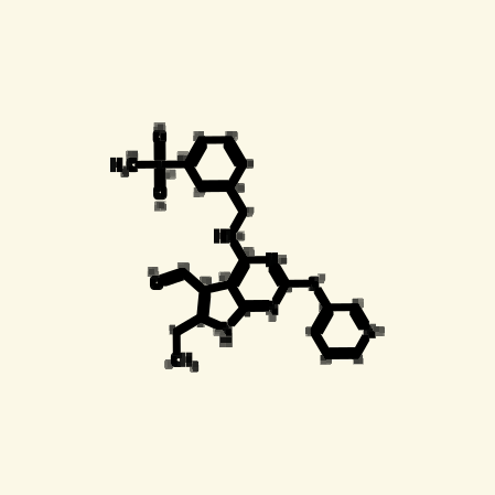 CCc1[nH]c2nc(Sc3cccnc3)nc(NCc3cccc(S(C)(=O)=O)c3)c2c1C=O